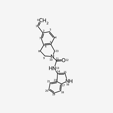 C=Cc1ccc2c(c1)CCN(C(=O)Nc1c[nH]c3ccccc13)C2